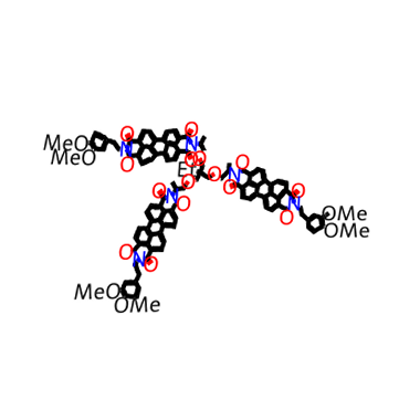 CCC(COCC(C)N1C(=O)c2ccc3c4ccc5c6c(ccc(c7ccc(c2c37)C1=O)c64)C(=O)N(CCc1ccc(OC)c(OC)c1)C5=O)(COCC(C)N1C(=O)c2ccc3c4ccc5c6c(ccc(c7ccc(c2c37)C1=O)c64)C(=O)N(CCc1ccc(OC)c(OC)c1)C5=O)COCC(C)N1C(=O)c2ccc3c4ccc5c6c(ccc(c7ccc(c2c37)C1=O)c64)C(=O)N(CCc1ccc(OC)c(OC)c1)C5=O